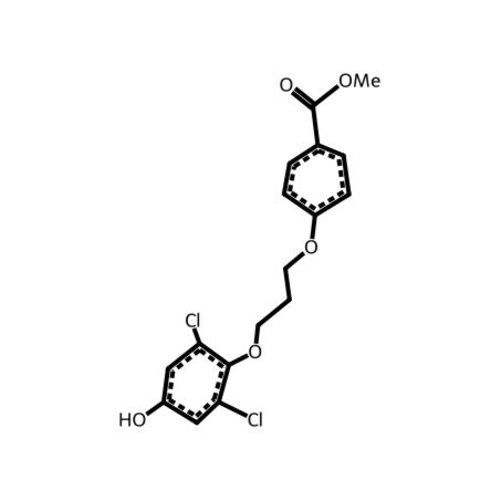 COC(=O)c1ccc(OCCCOc2c(Cl)cc(O)cc2Cl)cc1